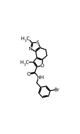 Cc1nc2c(s1)CCc1oc(C(=O)NCc3cccc(Br)c3)c(C)c1-2